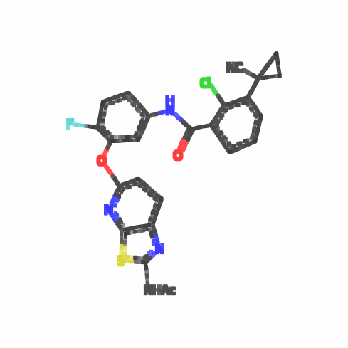 CC(=O)Nc1nc2ccc(Oc3cc(NC(=O)c4cccc(C5(C#N)CC5)c4Cl)ccc3F)nc2s1